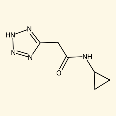 O=C(Cc1nn[nH]n1)NC1CC1